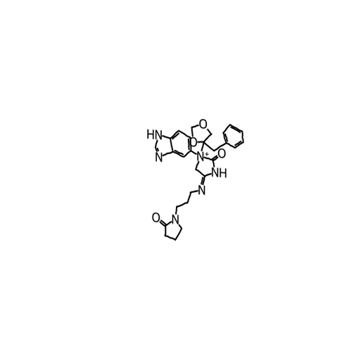 O=C1CCCN1CCCN=C1C[N+](c2ccc3[nH]cnc3c2)(C2(Cc3ccccc3)COCO2)C(=O)N1